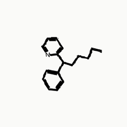 CCCCCC(c1ccccc1)c1c[c]ccn1